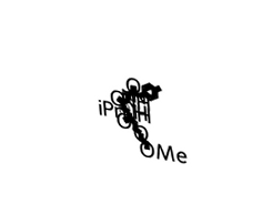 COCCOCCC(=O)N[C@H](C(=O)N[C@@H](C)C(=O)Nc1ccc(C)cc1)C(C)C